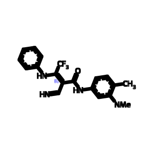 CNc1cc(NC(=O)/C(C=N)=C(/Nc2ccccc2)C(F)(F)F)ccc1C